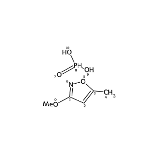 COc1cc(C)on1.O=[PH](O)O